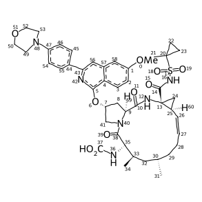 COc1ccc2c(O[C@@H]3C[C@H]4C(=O)N[C@]5(C(=O)NS(=O)(=O)C6(C)CC6)C[C@H]5/C=C\CC[C@H](C)C[C@@H](C)[C@H](NC(=O)O)C(=O)N4C3)nc(-c3ccc(N4CCOCC4)cc3)cc2c1